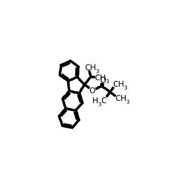 CC(C)C1(OC(=O)C(C)(C)C)c2ccccc2-c2cc3ccccc3cc21